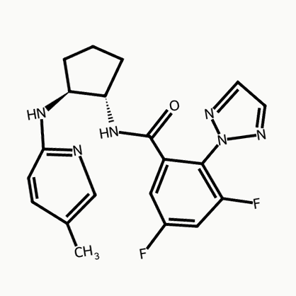 Cc1ccc(N[C@H]2CCC[C@@H]2NC(=O)c2cc(F)cc(F)c2-n2nccn2)nc1